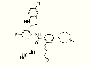 CN1CCCN(c2ccc(C(=O)Nc3ccc(F)cc3C(=O)Nc3ccc(Cl)cn3)c(OCCO)c2)CC1.Cl.Cl.Cl